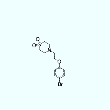 O=S1(=O)CCN(CCOc2ccc(Br)cc2)CC1